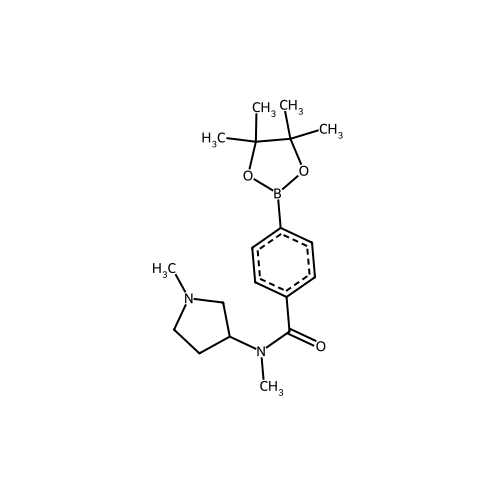 CN1CCC(N(C)C(=O)c2ccc(B3OC(C)(C)C(C)(C)O3)cc2)C1